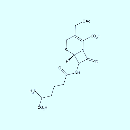 CC(=O)OCC1=C(C(=O)O)N2C(=O)C(NC(=O)CCCC(N)C(=O)O)[C@@H]2SC1